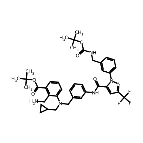 CC(C)(C)OC(=O)NCc1cccc(-n2nc(C(F)(F)F)cc2C(=O)Nc2cccc(CN(CC3CC3)c3cccc(C(=O)OC(C)(C)C)c3CN)c2)c1